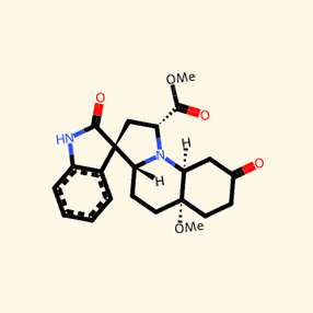 COC(=O)[C@H]1C[C@@]2(C(=O)Nc3ccccc32)[C@H]2CC[C@]3(OC)CCC(=O)C[C@@H]3N12